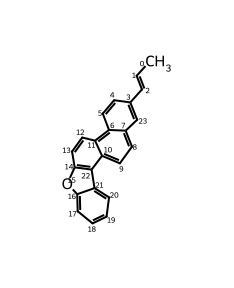 C/C=C/c1ccc2c(ccc3c2ccc2oc4ccccc4c23)c1